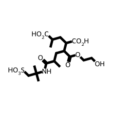 CC(CC(C(=O)O)C(CC(C)C(=O)NC(C)(C)CS(=O)(=O)O)C(=O)OCCO)C(=O)O